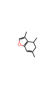 CC1=Cc2occ(C)c2C(C)C1